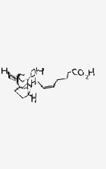 C[C@H](O)[C@@H]1[C@@H]2CC[C@H]1[C@@H](C/C=C\CCCC(=O)O)C2